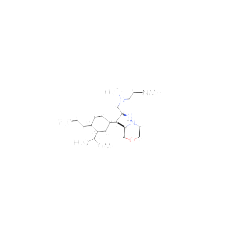 CNCCN(C)Cc1nn2c(c1C1CCC(CCC(F)(F)F)C(C(C)OC)C1)COCC2